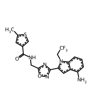 Cc1cc(C(=O)NCc2nc(-c3cc4c(N)cccc4n3CC(F)(F)F)no2)cs1